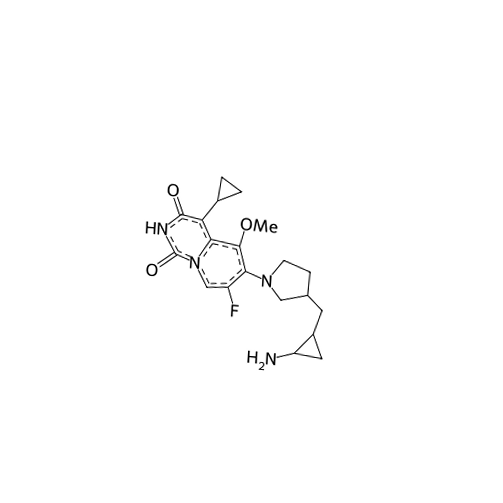 COc1c(N2CCC(CC3CC3N)C2)c(F)cn2c(=O)[nH]c(=O)c(C3CC3)c12